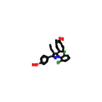 CCc1c(-c2ccc(O)cc2)nn(-c2c(Cl)cccc2Cl)c1-c1ccc(O)cc1